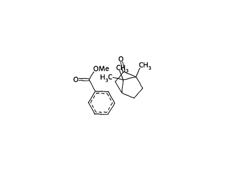 CC12CCC(CC1=O)C2(C)C.COC(=O)c1ccccc1